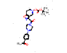 CC(=O)c1ccc(N2CCN(C(=O)c3noc4c3CN(OC(=O)OC(C)(C)C)CC4)CC2)cc1